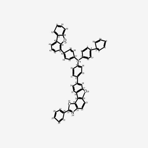 c1ccc(-c2ccc(N(c3ccc(-c4ccc5c(c4)oc4ccc6nc(-c7ccccc7)oc6c45)cc3)c3ccc(-c4cccc5c4oc4ccccc45)cc3)cc2)cc1